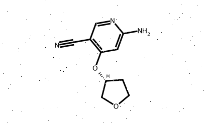 N#Cc1cnc(N)cc1O[C@@H]1CCOC1